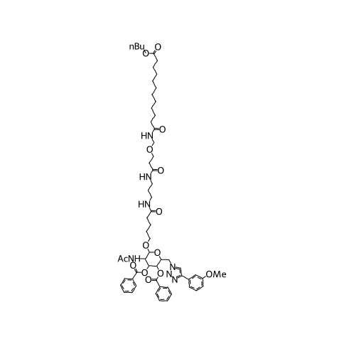 CCCCOC(=O)CCCCCCCCCCC(=O)NCOCCC(=O)NCCCNC(=O)CCCCOC1OC(Cn2cc(-c3cccc(OC)c3)nn2)C(OC(=O)c2ccccc2)C(OC(=O)c2ccccc2)C1NC(C)=O